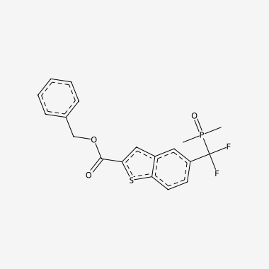 CP(C)(=O)C(F)(F)c1ccc2sc(C(=O)OCc3ccccc3)cc2c1